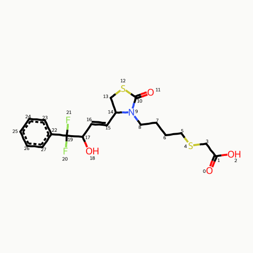 O=C(O)CSCCCCN1C(=O)SCC1C=CC(O)C(F)(F)c1ccccc1